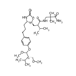 COC[C@H](C(C)C)C(OC)Oc1ccc(CCCC2NC(=O)O[C@H]2CC(C(=O)NCC(C)(C)C(N)=O)C(C)C)cc1